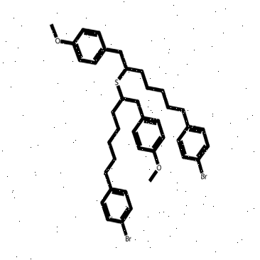 COc1ccc(CC(CCCCCc2ccc(Br)cc2)SC(CCCCCc2ccc(Br)cc2)Cc2ccc(OC)cc2)cc1